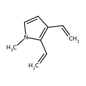 C=Cc1ccn(C)c1C=C